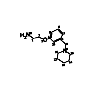 NCCOc1cccc(CN2CCCCC2)c1